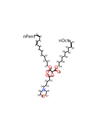 CCCCC/C=C\C/C=C\CCCCCCCCOC(=O)C(OC(=O)CCCCN1CCOCC1)C(=O)OCCCCCCCC/C=C\CCCCCCCC